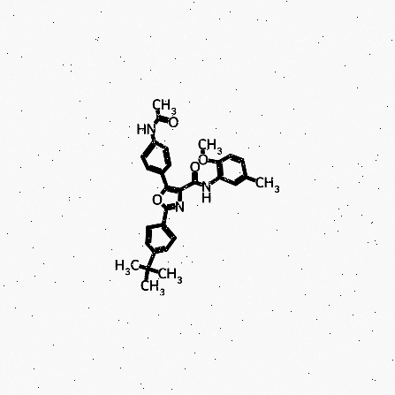 COc1ccc(C)cc1NC(=O)c1nc(-c2ccc(C(C)(C)C)cc2)oc1-c1ccc(NC(C)=O)cc1